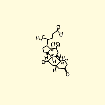 CC(CCC(=O)Cl)C1CC[C@H]2[C@@H]3C(=O)C[C@@H]4CC(=O)CC[C@]4(C)[C@H]3CC(=O)[C@]12C